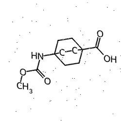 COC(=O)NC12CCC(C(=O)O)(CC1)CC2